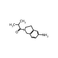 CC(C)C(=O)N1CCc2cc(N)ccc2C1